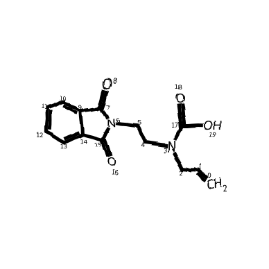 C=CCN(CCN1C(=O)c2ccccc2C1=O)C(=O)O